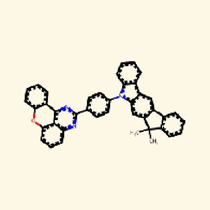 CC1(C)c2ccccc2-c2cc3c4ccccc4n(-c4ccc(-c5nc6c7c(cccc7n5)Oc5ccccc5-6)cc4)c3cc21